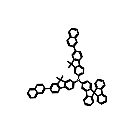 CC1(C)c2cc(-c3ccc4ccccc4c3)ccc2-c2ccc(N(c3ccc4c(c3)-c3ccccc3C43c4ccccc4-c4ccccc43)c3ccc4c(c3)C(C)(C)c3cc(-c5ccc6ccccc6c5)ccc3-4)cc21